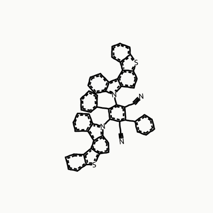 N#Cc1c(-c2ccccc2)c(C#N)c(-n2c3ccccc3c3c4c(ccc32)sc2ccccc24)c(-c2ccccc2)c1-n1c2ccccc2c2c3c(ccc21)sc1ccccc13